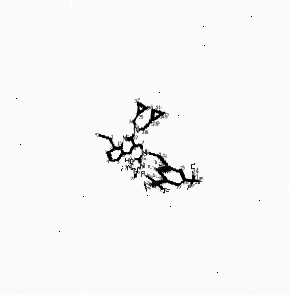 CCc1cccc2cc(CN(Cc3cc(C(F)(F)F)cc(C(F)(F)F)c3)C3=NN(C)NN3)c(N(CC3CC3)CC3CC3)nc12